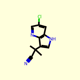 CC(C)(C#N)c1c[nH]c2cc(Cl)cnc12